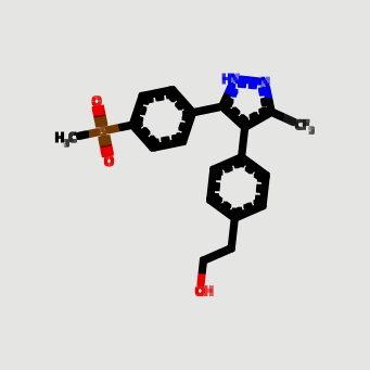 CS(=O)(=O)c1ccc(-c2[nH]nc(C(F)(F)F)c2-c2ccc(CCO)cc2)cc1